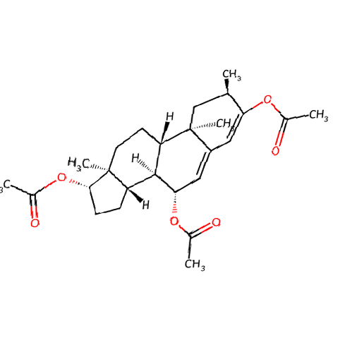 CC(=O)OC1=CC2=C[C@H](OC(C)=O)[C@H]3[C@@H]4CC[C@H](OC(C)=O)[C@@]4(C)CC[C@@H]3[C@@]2(C)C[C@H]1C